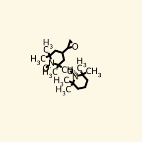 CC1(C)CC(C2CO2)CC(C)(C)N1[O].CC1(C)CCCC(C)(C)N1[O]